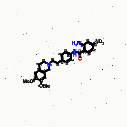 COc1cc2c(cc1OC)CN(CCc1ccc(NC(=O)c3ccc([N+](=O)[O-])cc3N)cc1)CC2